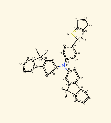 CC1(C)c2ccccc2-c2ccc(N(c3ccc(-c4cc5c(s4)C=CC5)cc3)c3ccc4c(c3)C(C)(C)c3ccccc3-4)cc21